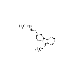 CCn1c2ccccc2c2cc(/C=N/NC)ccc21